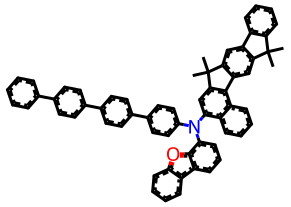 CC1(C)c2ccccc2-c2cc3c(cc21)-c1c(cc(N(c2ccc(-c4ccc(-c5ccc(-c6ccccc6)cc5)cc4)cc2)c2cccc4c2oc2ccccc24)c2ccccc12)C3(C)C